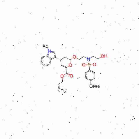 C=CCOC(=O)C1=C[C@H](c2cn(C(C)=O)c3ccccc23)CC(OCCN(CCO)S(=O)(=O)c2ccc(OC)cc2)O1